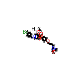 CCOC(=O)C1(S(=O)(=O)c2ccc(OCC#CCN3CCOCC3)cc2)CCN(Cc2ccc(Br)cc2)CC1